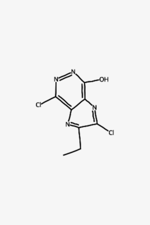 CCc1nc2c(Cl)nnc(O)c2nc1Cl